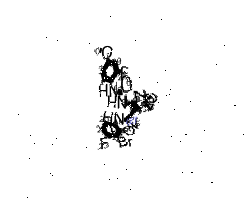 COc1ccc(NC(=O)Nc2nonc2/C(=N/O)Nc2ccc(F)c(Br)c2)c(F)c1